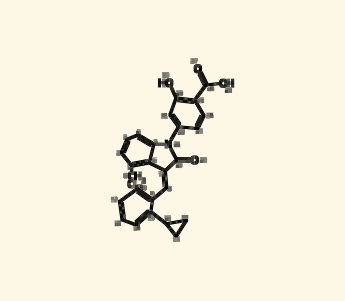 Cc1cccc2c1/C(=C\c1c(Cl)cccc1C1CC1)C(=O)N2c1ccc(C(=O)O)c(O)c1